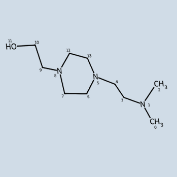 CN(C)CCN1CCN(CCO)CC1